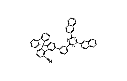 N#Cc1cccc2c1-c1cc(-c3cccc(-c4nc(-c5ccc6ccccc6c5)nc(-c5ccc6ccccc6c5)n4)c3)ccc1C21c2ccccc2-c2ccccc21